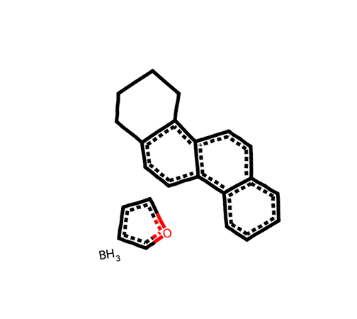 B.c1ccc2c(c1)ccc1c3c(ccc12)CCCC3.c1ccoc1